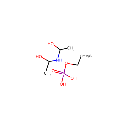 CC(O)NC(C)O.CCCCCCCCOP(=O)(O)O